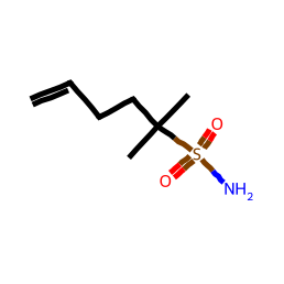 C=CCCC(C)(C)S(N)(=O)=O